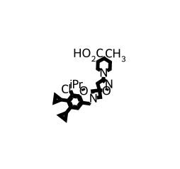 CC(C)Oc1c(CN2CC3(CC(N4CCC(C)(C(=O)O)CC4)=NO3)C2)cc(C2CC2)c(C2CC2)c1Cl